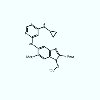 CCCCCc1nc2cc(Nc3cc(NC4CC4)ncn3)c(OC)cc2n1OC(C)(C)C